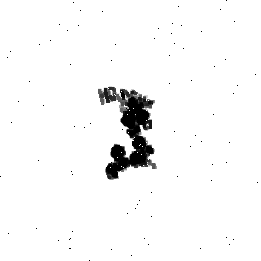 Cc1c(C(=O)O)c(-c2cccc(N3CCN(c4ccc(N5CCO[P@@]5(=O)c5ccc(NC(CCN6CCOCC6)CSc6ccccc6)c([N+](=O)[O-])c5)cc4)CC3)c2)c(-c2ccc(Cl)cc2)n1C(C)C